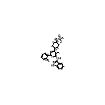 Cc1c(Nc2n[nH]c3ccccc23)nc(-c2ccccc2Cl)nc1C1CCC(NS(C)(=O)=O)CC1